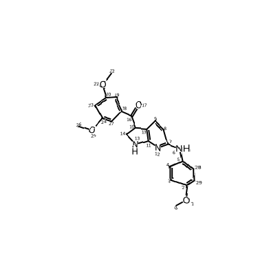 COc1ccc(Nc2ccc3c(n2)NCC3C(=O)c2cc(OC)cc(OC)c2)cc1